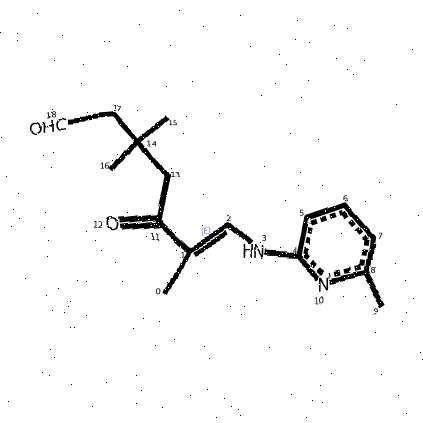 C/C(=C\Nc1cccc(C)n1)C(=O)CC(C)(C)CC=O